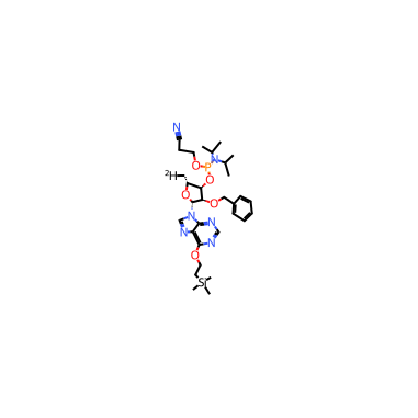 [2H]C[C@H]1O[C@@H](n2cnc3c(OCC[Si](C)(C)C)ncnc32)[C@H](OCc2ccccc2)[C@@H]1OP(OCCC#N)N(C(C)C)C(C)C